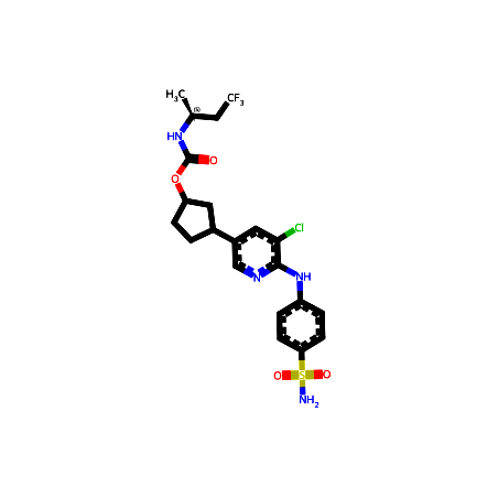 C[C@@H](CC(F)(F)F)NC(=O)OC1CCC(c2cnc(Nc3ccc(S(N)(=O)=O)cc3)c(Cl)c2)C1